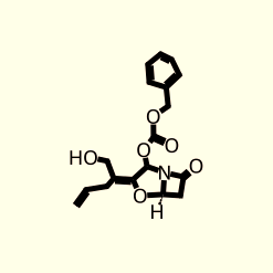 C=CC/C(CO)=C1\O[C@@H]2CC(=O)N2C1OC(=O)OCc1ccccc1